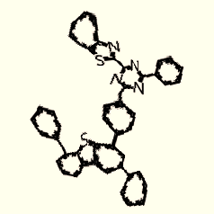 c1ccc(-c2cc(-c3ccc(-c4nc(-c5ccccc5)nc(-c5nc6ccccc6s5)n4)cc3)c3sc4c(-c5ccccc5)cccc4c3c2)cc1